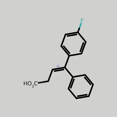 O=C(O)C/C=C(\c1ccccc1)c1ccc(F)cc1